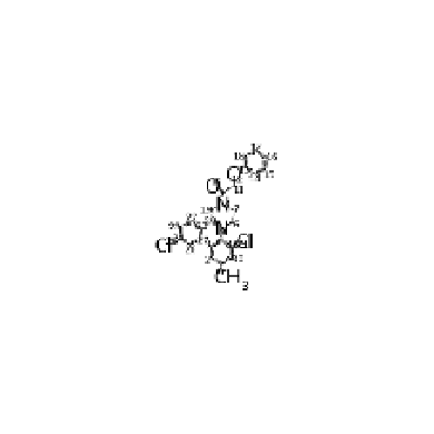 Cc1ccc(N2CCN(C(=O)COc3ccccc3)C[C@H]2c2ccc(Cl)cc2)c(Cl)c1